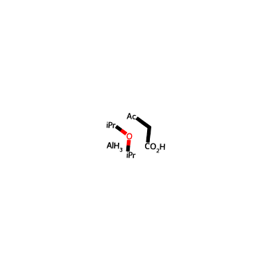 CC(=O)CC(=O)O.CC(C)OC(C)C.[AlH3]